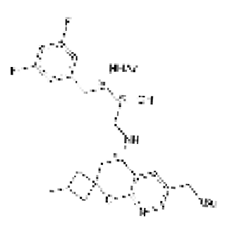 CC(=O)N[C@@H](Cc1cc(F)cc(F)c1)[C@H](O)CN[C@H]1CC2(CC(C)C2)Oc2ncc(CC(C)(C)C)cc21